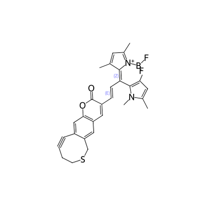 CC1=CC(C)=[N+](B(F)F)/C1=C(/C=C/c1cc2cc3c(cc2oc1=O)C#CCCSC3)c1c(C)cc(C)n1C